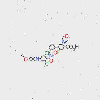 O=C(O)c1cc(F)c(-c2cccc3c2OCN(C(=O)c2c(Cl)cc(N4CC5(CC(OC6CC6)C5)C4)cc2Cl)C3)cc1N1C2CCC1COC2